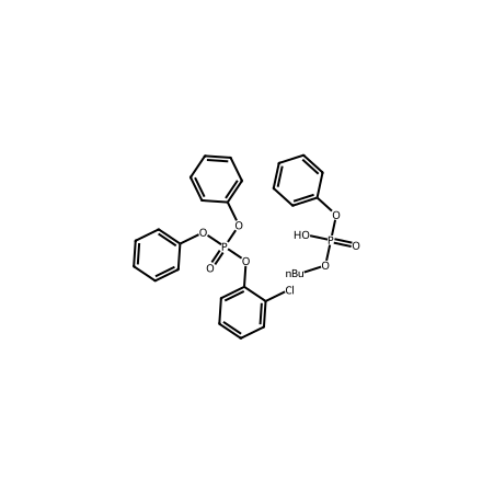 CCCCOP(=O)(O)Oc1ccccc1.O=P(Oc1ccccc1)(Oc1ccccc1)Oc1ccccc1Cl